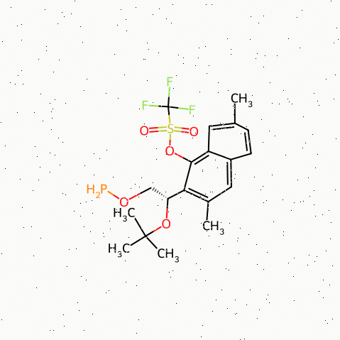 Cc1ccc2cc(C)c([C@@H](COP)OC(C)(C)C)c(OS(=O)(=O)C(F)(F)F)c2c1